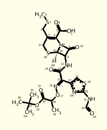 CSCC1=C(C(=O)O)N2C(=O)C(NC(=O)/C(=N/OC(C)C(=O)OC(C)(C)C)c3csc(NC=O)n3)[C@H]2SC1